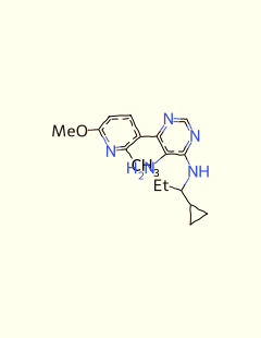 CCC(Nc1ncnc(-c2ccc(OC)nc2C)c1N)C1CC1